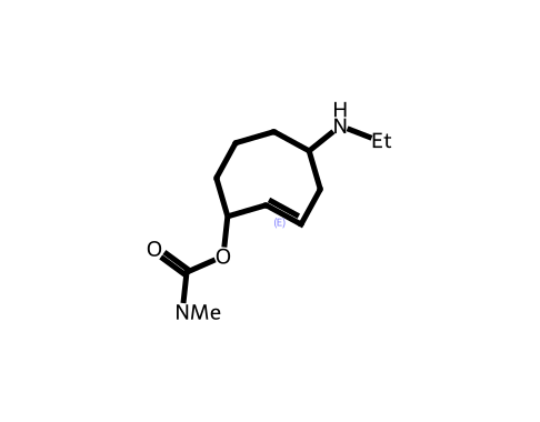 CCNC1C/C=C/C(OC(=O)NC)CCC1